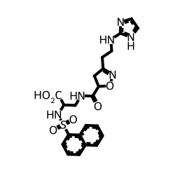 O=C(O)C(CNC(=O)C1CC(CCNc2ncc[nH]2)=NO1)NS(=O)(=O)c1cccc2ccccc12